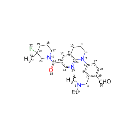 CCN(C)Cc1cc(N2CCCc3cc(C(=O)N4CCCC(C)(F)C4)cnc32)ccc1C=O